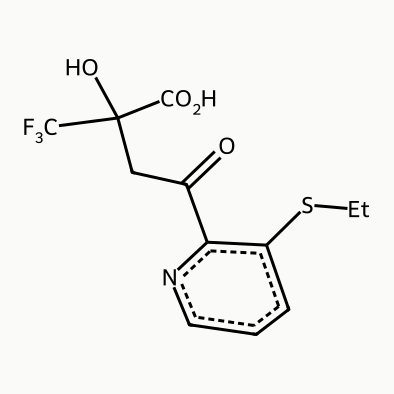 CCSc1cccnc1C(=O)CC(O)(C(=O)O)C(F)(F)F